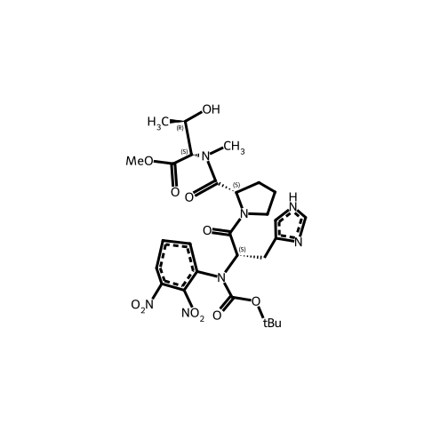 COC(=O)[C@H]([C@@H](C)O)N(C)C(=O)[C@@H]1CCCN1C(=O)[C@H](Cc1c[nH]cn1)N(C(=O)OC(C)(C)C)c1cccc([N+](=O)[O-])c1[N+](=O)[O-]